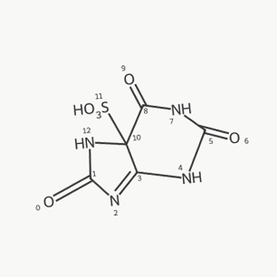 O=C1N=C2NC(=O)NC(=O)C2(S(=O)(=O)O)N1